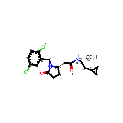 O=C(C[C@@H]1CCC(=O)N1Cc1cc(Cl)ccc1Cl)N[C@@H](CC1CC1)C(=O)O